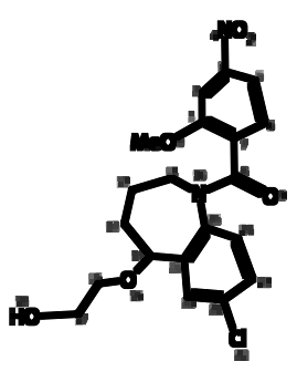 COc1cc([N+](=O)[O-])ccc1C(=O)N1CCCC(OCCO)c2cc(Cl)ccc21